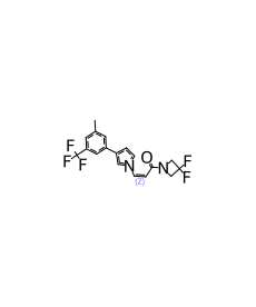 Cc1cc(-c2ccn(/C=C\C(=O)N3CC(F)(F)C3)c2)cc(C(F)(F)F)c1